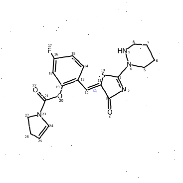 O=C1N=C(N2CCCCN2)S/C1=C\c1ccc(F)cc1OC(=O)N1C=CCC1